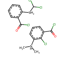 C[SiH](C)c1cccc(C(=O)Cl)c1Cl.O=C(Cl)c1ccccc1[SiH2]C(Cl)Cl